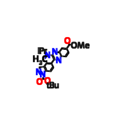 COC(=O)c1ccc2nc(-c3ccc4c(cnn4C(=O)OC(C)(C)C)c3)c(N(C)C(C)C)nc2c1